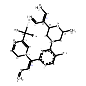 C=N/C=C(/c1ncc(F)c(N2CC(C)OC(/C(C=N)=C/N)C2)n1)N1C=C(C(F)(F)F)N=CC1